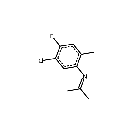 CC(C)=Nc1cc(Cl)c(F)cc1C